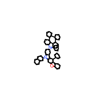 c1ccc(-c2c3c(cc4c2c2cc(N(c5ccccc5)c5cccc6c5-c5ccccc5-c5ccccc5-c5ccccc5-6)ccc2n4-c2ccc4ccccc4c2)oc2ccccc23)cc1